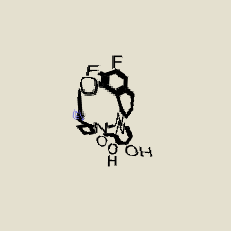 O=C1C2=C(O)C(O)C=CN2N2CN1C1(/C=C/COc3c(F)c(F)cc4c3C2CCC4)CCC1